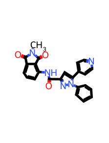 CN1C(=O)c2cccc(NC(=O)c3cc(-c4ccncc4)n(-c4ccccc4)n3)c2C1=O